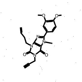 C#CCn1c(=O)c2c(nc(-c3ccc(OC)c(OC)c3)n2C)n(CCC=C)c1=O